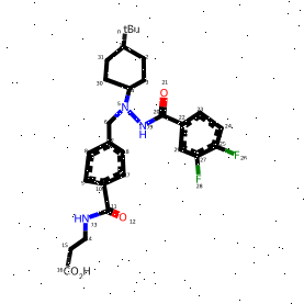 CC(C)(C)C1CCC(N(Cc2ccc(C(=O)NCCC(=O)O)cc2)NC(=O)c2ccc(F)c(F)c2)CC1